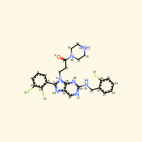 O=C(CCn1c(-c2cccc(F)c2F)nc2cnc(NCc3ccccc3F)nc21)N1CCNCC1